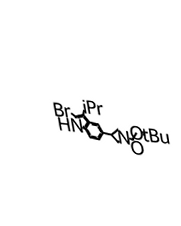 CC(C)c1c(Br)[nH]c2ccc(C3CN(C(=O)OC(C)(C)C)C3)cc12